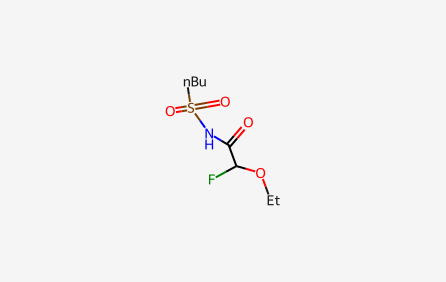 CCCCS(=O)(=O)NC(=O)C(F)OCC